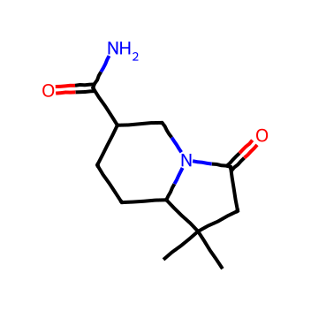 CC1(C)CC(=O)N2CC(C(N)=O)CCC21